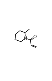 C=CC(=O)N1C[CH]CCC1C